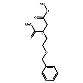 COC(=O)[C@H](CCOCc1ccccc1)CC(=O)OC(C)(C)C